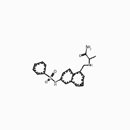 CC(NCc1cccc2cc(NS(=O)(=O)c3ccccc3)ccc12)C(N)=O